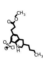 CCCCC1CNc2c(cc(CCC(=O)OCC)cc2S(=O)(=O)Cl)C1